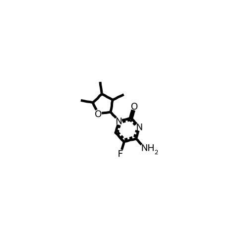 CC1OC(n2cc(F)c(N)nc2=O)C(C)C1C